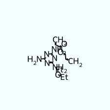 C=CCOC(=O)C=C.CCOCC.Nc1nc(N)nc(N)n1